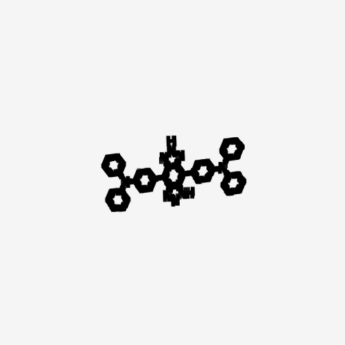 c1ccc(N(c2ccccc2)c2ccc(-c3c4n[nH]nc4c(-c4ccc(N(c5ccccc5)c5ccccc5)cc4)c4[nH]nnc34)cc2)cc1